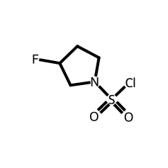 O=S(=O)(Cl)N1CCC(F)C1